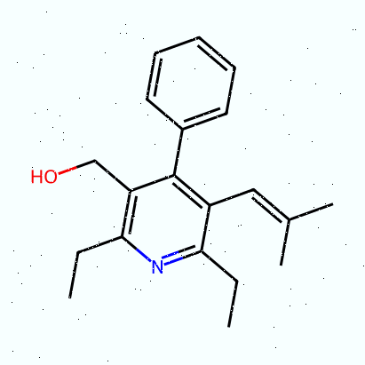 CCc1nc(CC)c(CO)c(-c2ccccc2)c1C=C(C)C